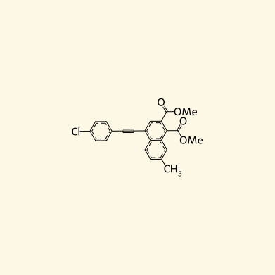 COC(=O)c1cc(C#Cc2ccc(Cl)cc2)c2ccc(C)cc2c1C(=O)OC